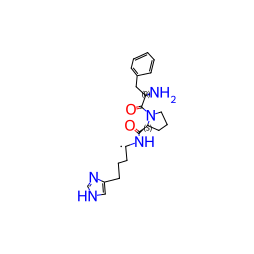 N[C@H](Cc1ccccc1)C(=O)N1CCC[C@H]1C(=O)N[CH]CCCc1c[nH]cn1